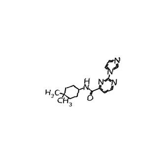 CC1(C)CCC(NC(=O)c2ccnc(-n3ccnc3)n2)CC1